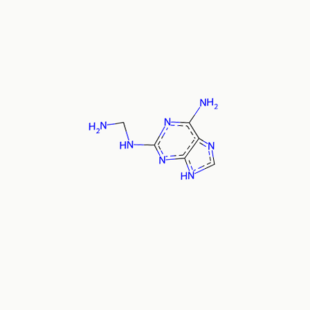 NCNc1nc(N)c2nc[nH]c2n1